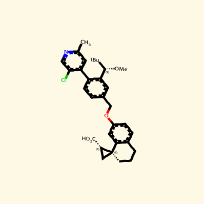 CO[C@H](c1cc(COc2ccc3c(c2)[C@@]2(CCC3)C[C@@H]2C(=O)O)ccc1-c1cc(C)ncc1Cl)C(C)(C)C